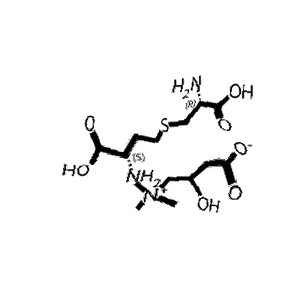 C[N+](C)(C)CC(O)CC(=O)[O-].N[C@@H](CCSC[C@H](N)C(=O)O)C(=O)O